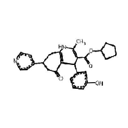 CC1=C(C(=O)OC2CCCC2)C(c2cccc(O)c2)C2=C(CC(c3ccncc3)CC2=O)N1